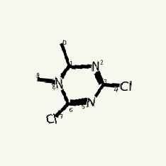 CC1N=C(Cl)N=C(Cl)N1C